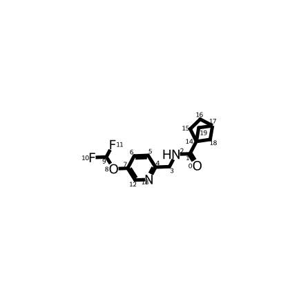 O=C(NCc1ccc(OC(F)F)cn1)C12CCC(C1)C2